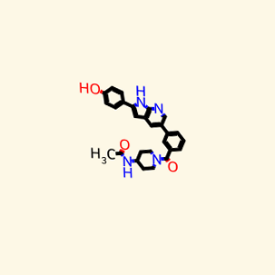 CC(=O)NC1CCN(C(=O)c2cccc(-c3cnc4[nH]c(-c5ccc(O)cc5)cc4c3)c2)CC1